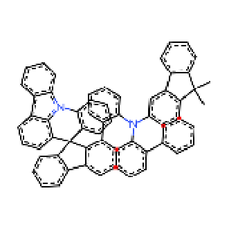 CC1(C)c2ccccc2-c2cc(N(c3ccccc3-c3ccccc3)c3ccccc3-c3cccc4c3C3(c5ccccc5-4)c4ccccc4-n4c5ccccc5c5cccc3c54)ccc21